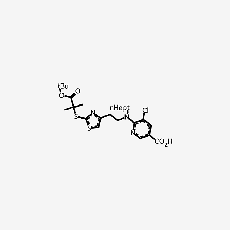 CCCCCCCN(CCc1csc(SC(C)(C)C(=O)OC(C)(C)C)n1)c1ncc(C(=O)O)cc1Cl